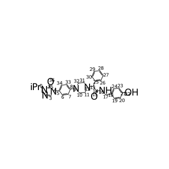 CC(C)n1ncn(-c2ccc(N3CCN(C(C(=O)NCc4ccc(O)cc4)c4ccccc4)CC3)cc2)c1=O